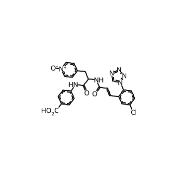 O=C(C=Cc1cc(Cl)ccc1-n1cnnn1)NC(Cc1cc[n+]([O-])cc1)C(=O)Nc1ccc(C(=O)O)cc1